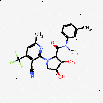 Cc1cccc(N(C)C(=O)C2C(O)C(O)CN2c2nc(C)cc(C(F)(F)F)c2C#N)c1